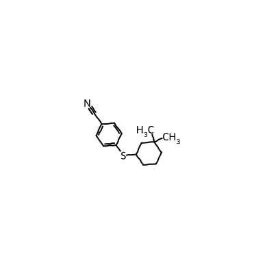 CC1(C)CCCC(Sc2ccc(C#N)cc2)C1